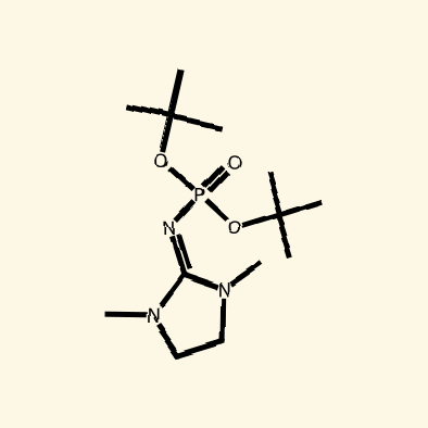 CN1CCN(C)C1=NP(=O)(OC(C)(C)C)OC(C)(C)C